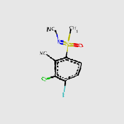 CS(=O)(=NC#N)c1ccc(F)c(Cl)c1C#N